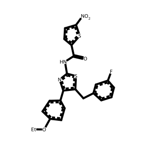 CCOc1ccc(-c2nc(NC(=O)c3ccc([N+](=O)[O-])s3)sc2Cc2cccc(F)c2)cc1